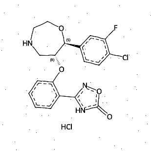 Cl.O=c1[nH]c(-c2ccccc2O[C@@H]2CNCCO[C@H]2c2ccc(Cl)c(F)c2)no1